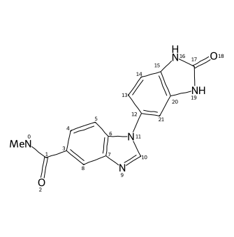 CNC(=O)c1ccc2c(c1)ncn2-c1ccc2[nH]c(=O)[nH]c2c1